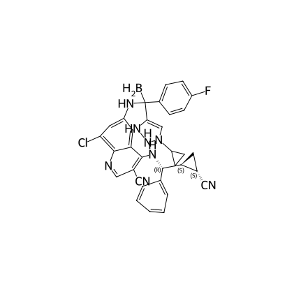 BC(Nc1cc(Cl)c2ncc(C#N)c(N[C@@H](c3ccccc3)[C@H]3C[C@@H]3C#N)c2c1)(C1=CN(C2CC2)NN1)c1ccc(F)cc1